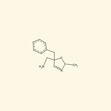 CC1N=CC(CN)(Cc2ccccc2)O1